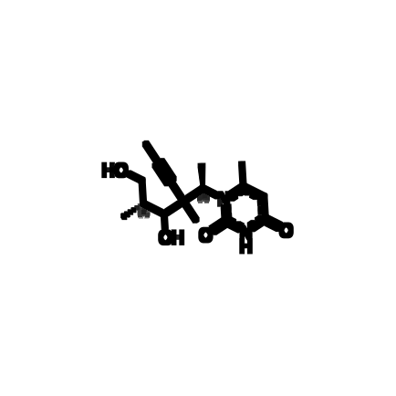 CC#CC(C)(C(O)[C@H](C)CO)[C@@H](C)n1c(C)cc(=O)[nH]c1=O